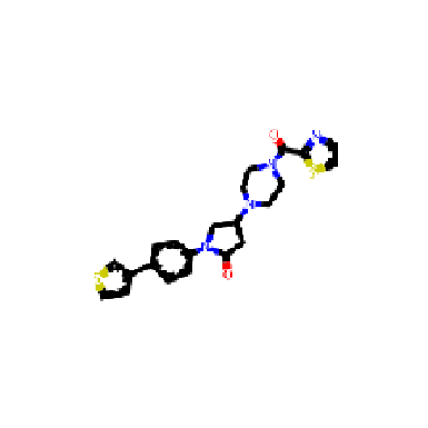 O=C(c1nccs1)N1CCN(C2CC(=O)N(c3ccc(-c4ccsc4)cc3)C2)CC1